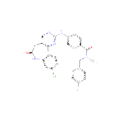 CN(Cc1ccc(F)cc1)C(=O)c1ccc(Nc2ncc3c(n2)-c2ccc(Cl)cc2NC(=O)C3)cc1